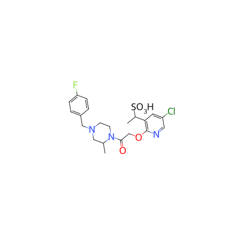 CC1CN(Cc2ccc(F)cc2)CCN1C(=O)COc1ncc(Cl)cc1C(C)S(=O)(=O)O